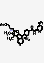 CCCc1ccnc(NC(=O)c2ccc(C3=NC(C(C)N(C)C(=O)/C=C/COC)=C4C=NC=C[N+]34N)cc2)c1